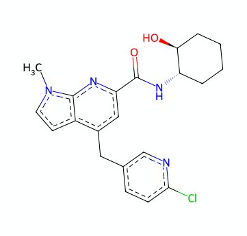 Cn1ccc2c(Cc3ccc(Cl)nc3)cc(C(=O)N[C@H]3CCCC[C@@H]3O)nc21